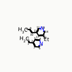 C=Cc1ccncc1.CC=Cc1cncc(CC)c1